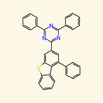 c1ccc(-c2nc(-c3ccccc3)nc(-c3cc(-c4ccccc4)c4c(c3)sc3ccccc34)n2)cc1